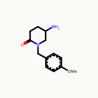 COc1ccc(CN2CC(N)CCC2=O)cc1